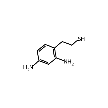 Nc1ccc(CCS)c(N)c1